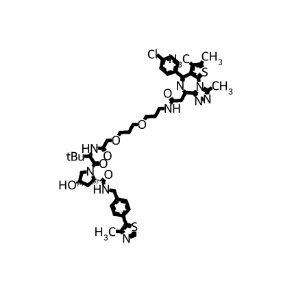 Cc1ncsc1-c1ccc(CNC(=O)[C@@H]2C[C@@H](O)CN2C(=O)C(NC(=O)COCCCOCCCNC(=O)CC2N=C(c3ccc(Cl)cc3)c3c(sc(C)c3C)-n3c(C)nnc32)C(C)(C)C)cc1